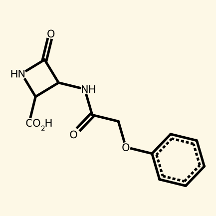 O=C(COc1ccccc1)NC1C(=O)NC1C(=O)O